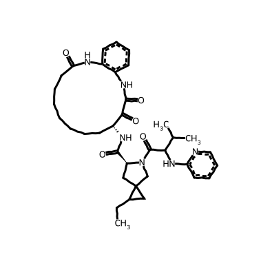 CCC1CC12C[C@@H](C(=O)N[C@@H]1CCCCCCCC(=O)Nc3ccccc3NC(=O)C1=O)N(C(=O)C(Nc1ccccn1)C(C)C)C2